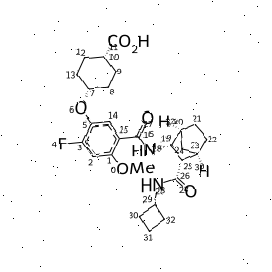 COc1cc(F)c(O[C@H]2CC[C@@H](C(=O)O)CC2)cc1C(=O)N[C@@H]1[C@H]2CC[C@H](C2)[C@@H]1C(=O)NC1CCC1